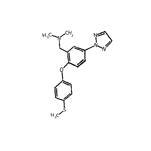 CSc1ccc(Oc2ccc(-n3nccn3)cc2CN(C)C)cc1